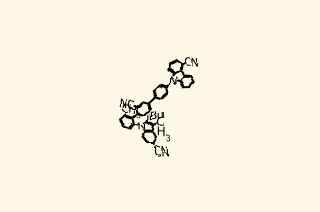 CCC(C)c1c(C)c2c(n1-c1cccc(C)c1C1CC=C(c3ccc(-n4c5ccccc5c5c(C#N)cccc54)cc3)C=C1C#N)C=CC(C#N)C2